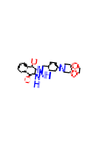 O=c1c2[nH][nH]n(Cc3ccc(N4CCC5(CC4)OCCO5)cc3)c=2c(=O)c2ccccc12